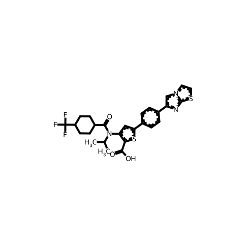 CC(C)N(C(=O)C1CCC(C(F)(F)F)CC1)c1cc(-c2ccc(-c3cn4ccsc4n3)cc2)sc1C(=O)O